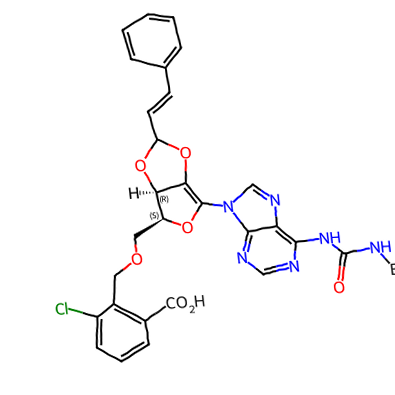 CCNC(=O)Nc1ncnc2c1ncn2C1=C2OC(C=Cc3ccccc3)O[C@@H]2[C@H](COCc2c(Cl)cccc2C(=O)O)O1